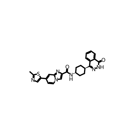 Cc1ncc(-c2ccn3cc(C(=O)N[C@H]4CC[C@H](c5n[nH]c(=O)c6ccccc65)CC4)nc3c2)s1